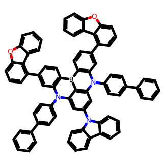 c1ccc(-c2ccc(N3c4cc(-c5cccc6oc7ccccc7c56)ccc4B4c5ccc(-c6cccc7oc8ccccc8c67)cc5N(c5ccc(-c6ccccc6)cc5)c5cc(-n6c7ccccc7c7ccccc76)cc3c54)cc2)cc1